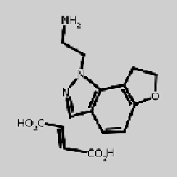 NCCn1ncc2ccc3c(c21)CCO3.O=C(O)C=CC(=O)O